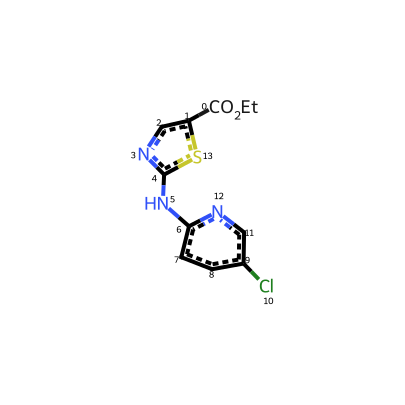 CCOC(=O)c1cnc(Nc2ccc(Cl)cn2)s1